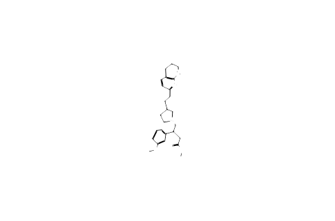 COC(=O)CC(CN1CCC(CCc2ccc3c(n2)NCCC3)C1)c1cccc(OC)c1